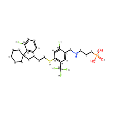 O=P(O)(O)CCCNCc1cc(C(F)(F)F)c(SCCCCC2(c3ccccc3F)CCCCC2)cc1F